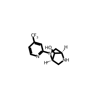 OC1[C@H]2CN[C@@H]1CN2c1cc(C(F)(F)F)ccn1